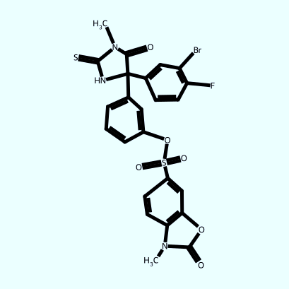 CN1C(=O)C(c2cccc(OS(=O)(=O)c3ccc4c(c3)oc(=O)n4C)c2)(c2ccc(F)c(Br)c2)NC1=S